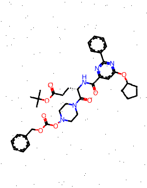 CC(C)(C)OC(=O)CC[C@H](NC(=O)c1cc(OC2CCCC2)nc(-c2ccccc2)n1)C(=O)N1CCN(OC(=O)OCc2ccccc2)CC1